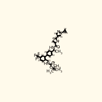 C[C@@H](NC(=O)c1csc(-c2cnn(C3CC3)c2)n1)c1ccc(-c2cc(C(F)(F)F)ccc2CNC(=O)OC(C)(C)C)cc1